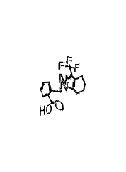 O=C(O)c1ccccc1Cn1nc(C(F)(F)F)c2c1CCCC2